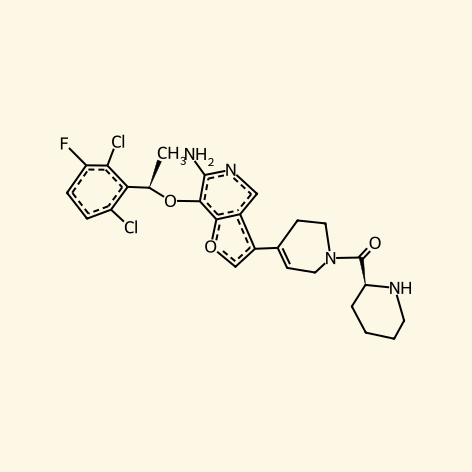 C[C@@H](Oc1c(N)ncc2c(C3=CCN(C(=O)[C@@H]4CCCCN4)CC3)coc12)c1c(Cl)ccc(F)c1Cl